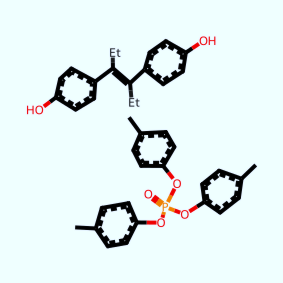 CC/C(=C(/CC)c1ccc(O)cc1)c1ccc(O)cc1.Cc1ccc(OP(=O)(Oc2ccc(C)cc2)Oc2ccc(C)cc2)cc1